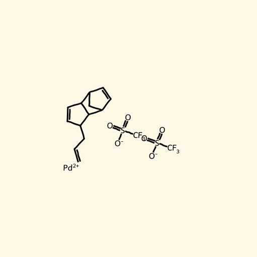 C=CCC1C=CC2C3C=CC(C3)C12.O=S(=O)([O-])C(F)(F)F.O=S(=O)([O-])C(F)(F)F.[Pd+2]